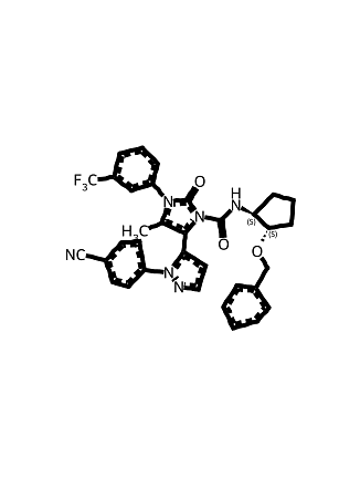 Cc1c(-c2ccnn2-c2ccc(C#N)cc2)n(C(=O)N[C@H]2CCC[C@@H]2OCc2ccccc2)c(=O)n1-c1cccc(C(F)(F)F)c1